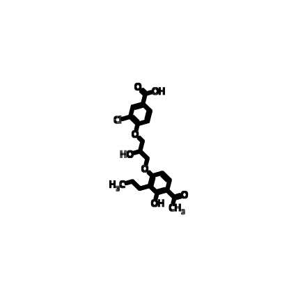 CCCc1c(OCC(O)COc2ccc(C(=O)O)cc2Cl)ccc(C(C)=O)c1O